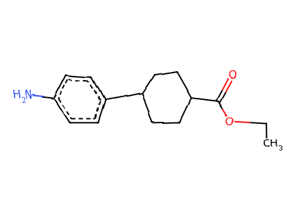 CCOC(=O)C1CCC(c2ccc(N)cc2)CC1